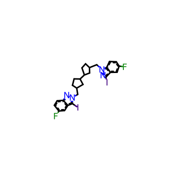 Fc1ccc2nn(CC3CCC(C4CCC(Cn5nc(I)c6cc(F)ccc65)C4)C3)c(I)c2c1